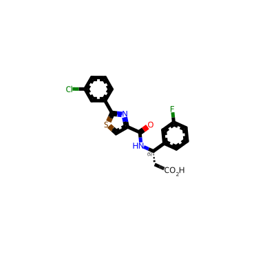 O=C(O)C[C@H](NC(=O)c1csc(-c2cccc(Cl)c2)n1)c1cccc(F)c1